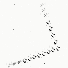 CCCn1ccnc1.CCCn1ccnc1.CCCn1ccnc1.CCCn1ccnc1.CCCn1ccnc1.CCCn1ccnc1.CCCn1ccnc1.CCCn1ccnc1.CCCn1ccnc1.CCCn1ccnc1.CCCn1ccnc1.CCCn1ccnc1.O=P(O)(O)F.O=P(O)(O)F.O=P(O)(O)F.O=P(O)(O)F.O=P(O)(O)F.O=P(O)(O)F